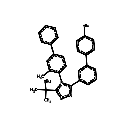 CCCCC(C)(C)c1nnc(-c2cccc(-c3ccc(C(C)(C)C)cc3)c2)n1-c1ccc(-c2ccccc2)cc1C